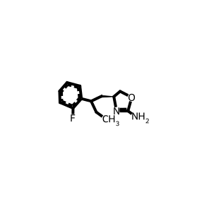 CCC(C[C@H]1COC(N)=N1)c1ccccc1F